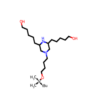 CC(C)(C)[Si](C)(C)OCCCCN1CC(CCCCCO)NC(CCCCCO)C1